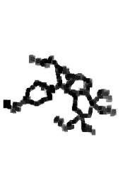 CN1CCN(c2c(C(=O)O)nc3sc4c(n23)CC(C)(C)CC4(C)C)CC1